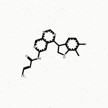 Cc1c(F)ccc2c1NCC2c1ncnc2cnc(NC(=O)C=CC(F)(F)F)cc12